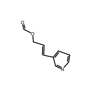 O=[C]OC/C=C/c1cccnc1